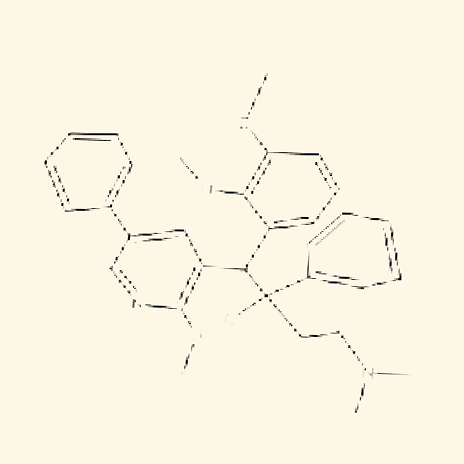 COc1cccc(C(c2cc(-c3ccccc3)cnc2OC)C(O)(CCN(C)C)c2ccccc2)c1OC